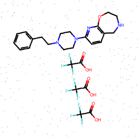 O=C(O)C(F)(F)F.O=C(O)C(F)(F)F.O=C(O)C(F)(F)F.c1ccc(CCN2CCN(c3ccc4c(n3)OCCNC4)CC2)cc1